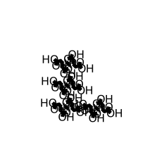 O=C(O)CN(CCN(CC(=O)O)CC(=O)O)CC(=O)O.O=C(O)CN(CCN(CC(=O)O)CC(=O)O)CC(=O)O.O=C(O)CN(CCN(CC(=O)O)CC(=O)O)CC(=O)O.O=C(O)CN(CCN(CC(=O)O)CC(=O)O)CC(=O)O